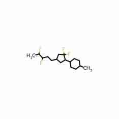 CC1CCC(C2CC(CCC(F)C(C)F)CC2(F)F)CC1